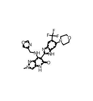 Cn1cc2[nH]c(=O)c(-c3nc4cc(C(F)(F)F)c(N5CCOCC5)cc4[nH]3)c(NCc3cocn3)c2n1